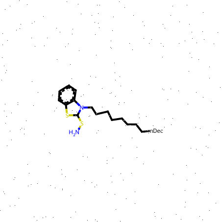 CCCCCCCCCCCCCCCCCCN1c2ccccc2SC1SN